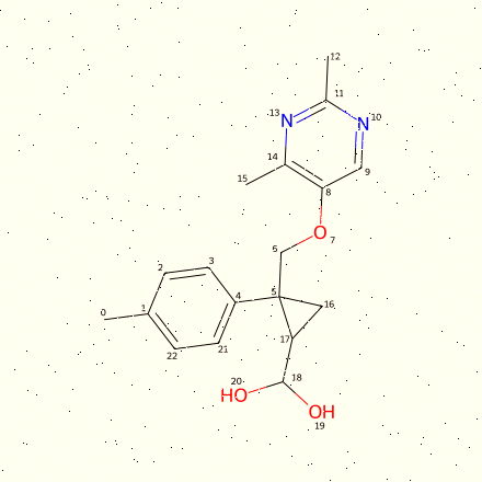 Cc1ccc(C2(COc3cnc(C)nc3C)CC2C(O)O)cc1